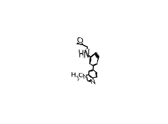 Cn1cnc2ccc(-c3cccc(NCC4CO4)c3)cc21